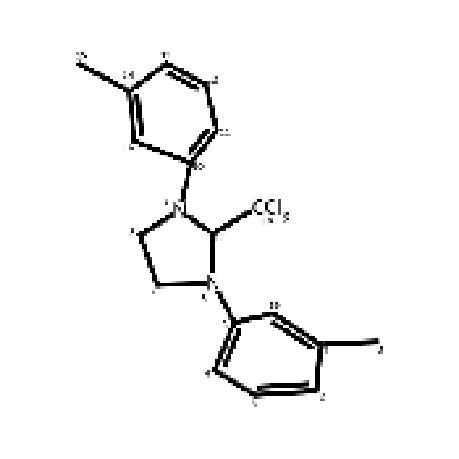 Cc1cccc(N2CCN(c3cccc(C)c3)C2C(Cl)(Cl)Cl)c1